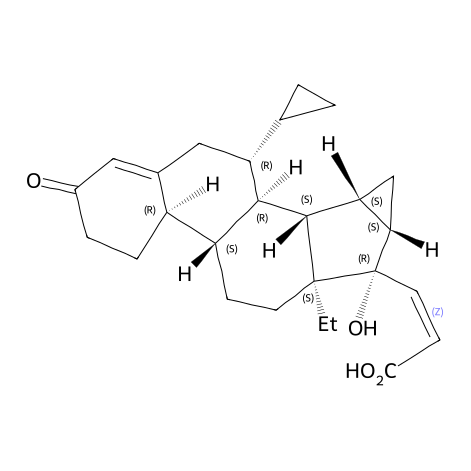 CC[C@]12CC[C@H]3[C@H]([C@@H]1[C@@H]1C[C@@H]1[C@@]2(O)/C=C\C(=O)O)[C@@H](C1CC1)CC1=CC(=O)CC[C@@H]13